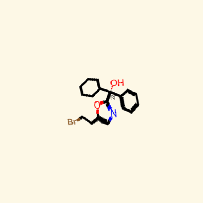 O[C@](c1ccccc1)(c1ncc(CCBr)o1)C1CCCCC1